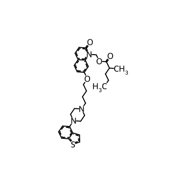 CCCC(C)C(=O)OCn1c(=O)ccc2ccc(OCCCCN3CCN(c4cccc5sccc45)CC3)cc21